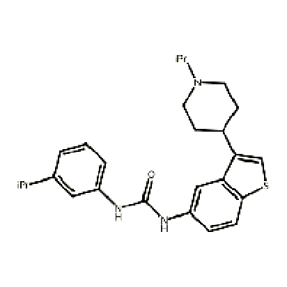 CC(C)c1cccc(NC(=O)Nc2ccc3scc(C4CCN(C(C)C)CC4)c3c2)c1